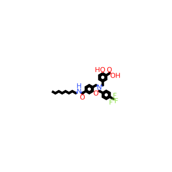 CCCCCCCCNC(=O)c1ccc(CN(Cc2ccc(O)c(C(=O)O)c2)C(=O)c2ccc(C(F)(F)F)cc2)cc1